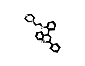 c1ccc(C2CC(c3ccccc3OCCN3CCOCC3)c3ccccc3N2)cc1